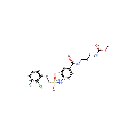 COC(=O)NCCCNC(=O)c1ccc(NS(=O)(=O)CCc2cccc(Cl)c2Cl)cc1